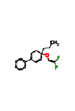 CCCC1(OC=C(F)F)C=CC(c2ccccc2)=CC1